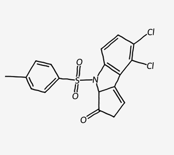 Cc1ccc(S(=O)(=O)N2c3ccc(Cl)c(Cl)c3C3=CCC(=O)C32)cc1